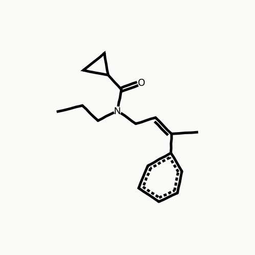 CCCN(C/C=C(/C)c1ccccc1)C(=O)C1CC1